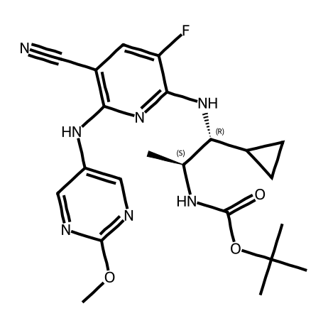 COc1ncc(Nc2nc(N[C@H](C3CC3)[C@H](C)NC(=O)OC(C)(C)C)c(F)cc2C#N)cn1